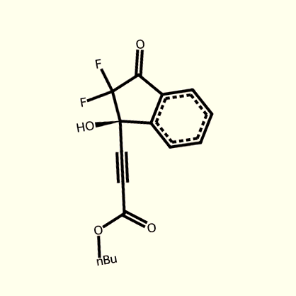 CCCCOC(=O)C#C[C@@]1(O)c2ccccc2C(=O)C1(F)F